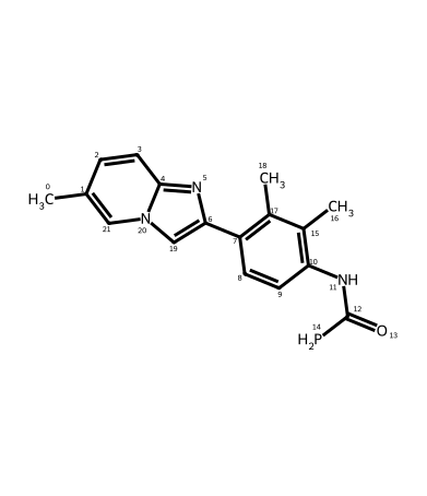 Cc1ccc2nc(-c3ccc(NC(=O)P)c(C)c3C)cn2c1